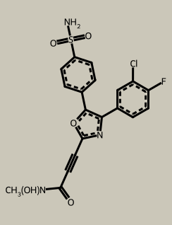 CN(O)C(=O)C#Cc1nc(-c2ccc(F)c(Cl)c2)c(-c2ccc(S(N)(=O)=O)cc2)o1